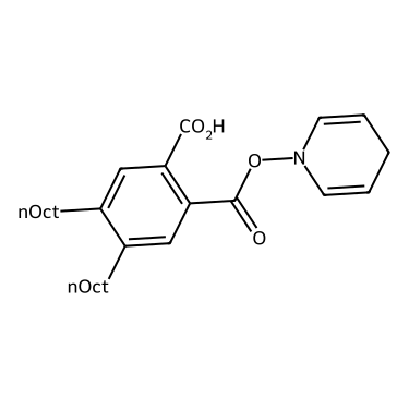 CCCCCCCCc1cc(C(=O)O)c(C(=O)ON2C=CCC=C2)cc1CCCCCCCC